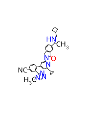 CC(NCC1CCC1)c1ccc2c(c1)C(=O)N(c1cc(-c3ccc(C#N)cc3-c3nncn3C)cc(C3CC3)n1)C2